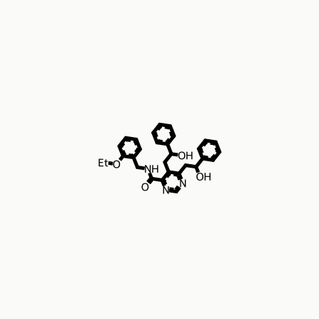 CCOc1ccccc1CNC(=O)c1ncnc(CC(O)c2ccccc2)c1CC(O)c1ccccc1